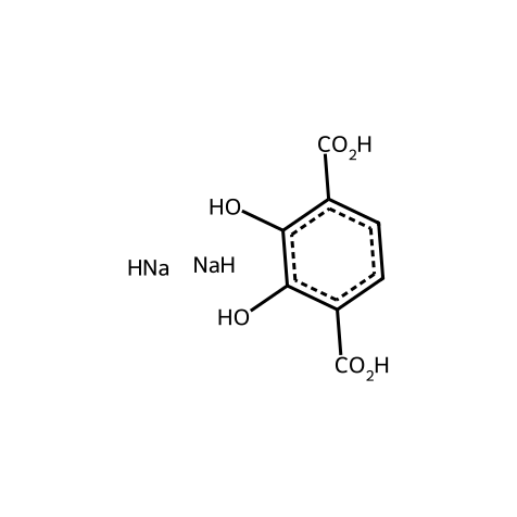 O=C(O)c1ccc(C(=O)O)c(O)c1O.[NaH].[NaH]